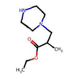 CCOC(=O)C(C)CN1CCNCC1